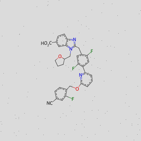 N#Cc1ccc(COc2cccc(-c3cc(F)c(Cc4nc5ccc(C(=O)O)cc5n4CC4CCCO4)cc3F)n2)c(F)c1